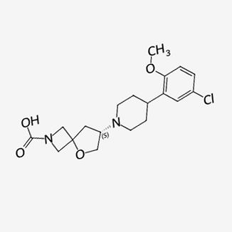 COc1ccc(Cl)cc1C1CCN([C@@H]2COC3(C2)CN(C(=O)O)C3)CC1